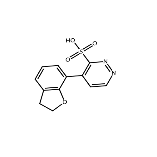 O=S(=O)(O)c1nnccc1-c1cccc2c1OCC2